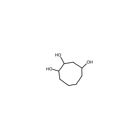 OC1CCCCC(O)C(O)C1